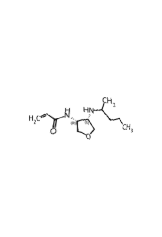 C=CC(=O)N[C@H]1COC[C@H]1NC(C)CCC